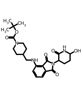 CC(C)(C)OC(=O)N1CCC(CNc2cccc3c2C(=O)N(C2CCC(O)NC2=O)C3=O)CC1